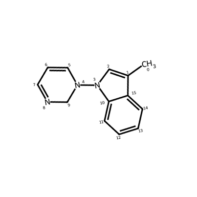 Cc1cn(N2C=CC=NC2)c2ccccc12